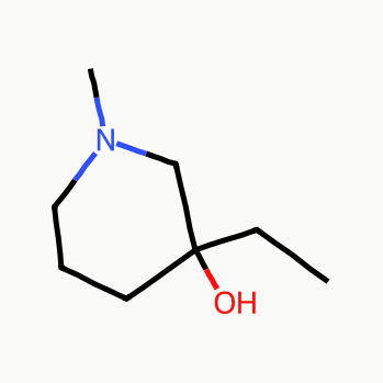 CCC1(O)CCCN(C)C1